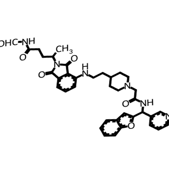 CC(CCC(=O)NC=O)N1C(=O)c2cccc(NCCC3CCN(CC(=O)NC(c4cccnc4)c4cc5ccccc5o4)CC3)c2C1=O